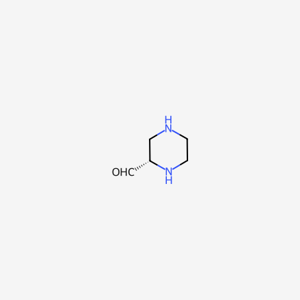 O=C[C@@H]1CNCCN1